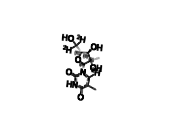 [2H]c1c(C)c(=O)[nH]c(=O)n1[C@@H]1O[C@H](C([2H])([2H])O)[C@@H](O)[C@@]1(C)O